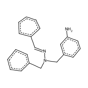 Nc1cccc(CN(Cc2ccccc2)/N=C/c2ccccc2)c1